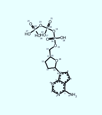 Nc1ncnc2c1ccn2C1CC[C@@H](COP(=O)(O)OP(=O)(O)OP(=O)(O)O)O1